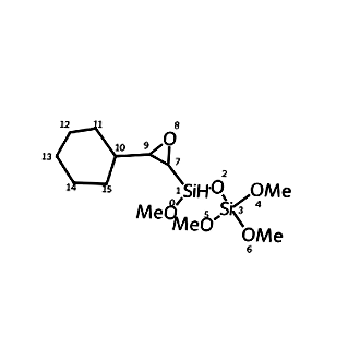 CO[SiH](O[Si](OC)(OC)OC)C1OC1C1CCCCC1